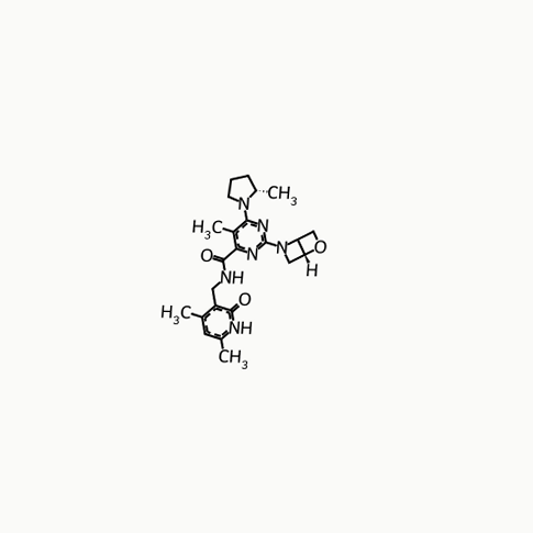 Cc1cc(C)c(CNC(=O)c2nc(N3C[C@H]4OCC43)nc(N3CCC[C@@H]3C)c2C)c(=O)[nH]1